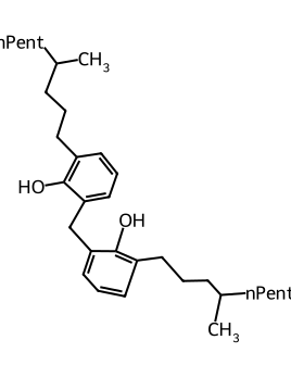 CCCCCC(C)CCCc1cccc(Cc2cccc(CCCC(C)CCCCC)c2O)c1O